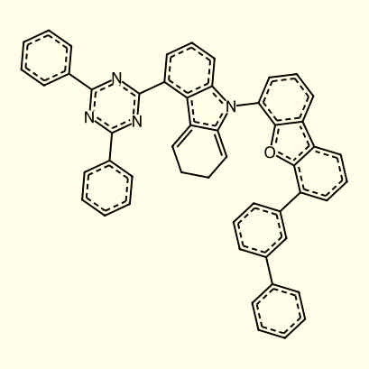 C1=c2c(n(-c3cccc4c3oc3c(-c5cccc(-c6ccccc6)c5)cccc34)c3cccc(-c4nc(-c5ccccc5)nc(-c5ccccc5)n4)c23)=CCC1